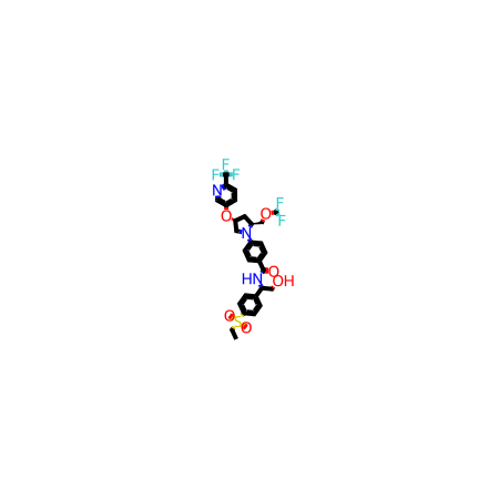 CCS(=O)(=O)c1ccc(C(CO)NC(=O)c2ccc(N3C[C@@H](Oc4ccc(C(F)(F)F)nc4)C[C@H]3COC(F)F)cc2)cc1